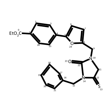 CCOC(=O)c1ccc(-c2ccc(CN3CC(=S)N(Cc4ccccc4)C3=O)o2)cc1